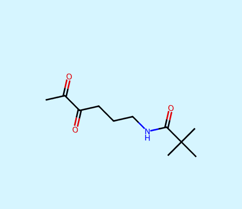 CC(=O)C(=O)CCCNC(=O)C(C)(C)C